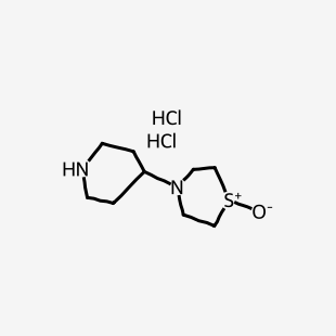 Cl.Cl.[O-][S+]1CCN(C2CCNCC2)CC1